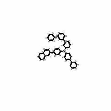 c1ccc(-c2ccc(N(c3ccc(-c4ccc5ccccc5c4)cc3)c3cccc(-c4cccc(-c5ccccc5)c4)c3)cc2)cc1